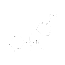 O=[N+]([O-])c1ccc(N(Cl)S(=O)(=O)C2CCCCC2)cc1